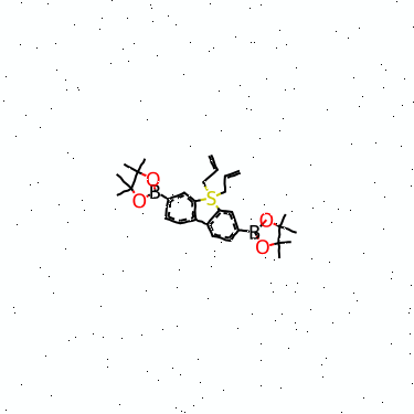 C=CCS1(CC=C)c2cc(B3OC(C)(C)C(C)(C)O3)ccc2-c2ccc(B3OC(C)(C)C(C)(C)O3)cc21